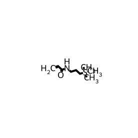 C=CC(=O)NCCCS(C)(C)C